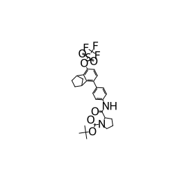 CC(C)(C)OC(=O)N1CCCC1C(=O)Nc1ccc(-c2ccc(OS(=O)(=O)C(F)(F)F)c3c2C2CCC3C2)cc1